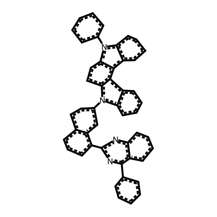 c1ccc(-c2nc(-c3cccc4ccc(-n5c6ccccc6c6c7c8ccccc8n(-c8ccccc8)c7ccc65)cc34)nc3ccccc23)cc1